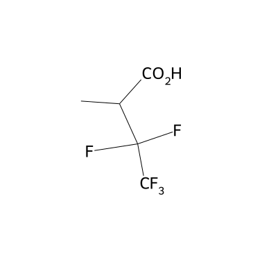 CC(C(=O)O)C(F)(F)C(F)(F)F